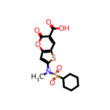 CN(c1cc2oc(=O)c(C(=O)O)cc2s1)S(=O)(=O)C1CCCCC1